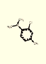 Cc1ccc(N(C)C)c(Cl)c1